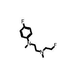 CN(CCF)CCN(C)c1ccc(F)cc1